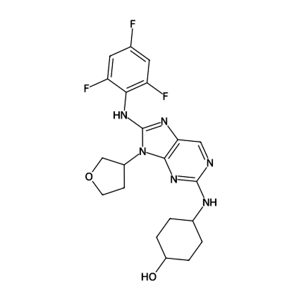 OC1CCC(Nc2ncc3nc(Nc4c(F)cc(F)cc4F)n(C4CCOC4)c3n2)CC1